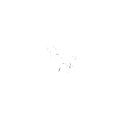 CC(C)(C)C#Cc1cc(-c2ccnc(NC(=O)C3CCC3)c2)cc2c(N)n[nH]c12